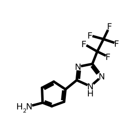 Nc1ccc(-c2nc(C(F)(F)C(F)(F)F)n[nH]2)cc1